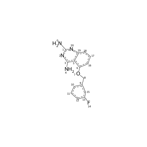 Nc1nc(N)c2c(OCc3cccc(F)c3)cccc2n1